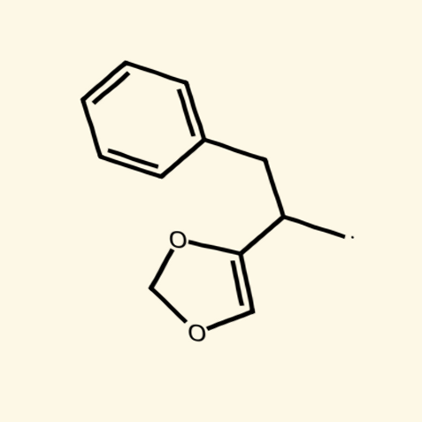 [CH2]C(Cc1ccccc1)C1=COCO1